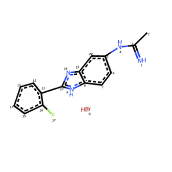 Br.CC(=N)Nc1ccc2[nH]c(-c3ccccc3F)nc2c1